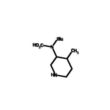 CC1CCNCC1N(C(=O)O)C(C)(C)C